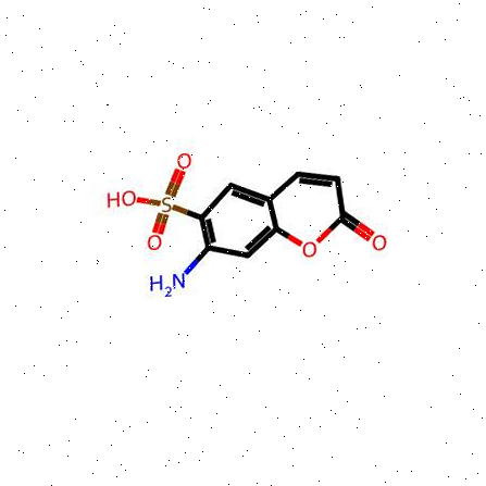 Nc1cc2oc(=O)ccc2cc1S(=O)(=O)O